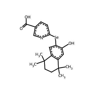 CC1(C)CCC(C)(C)c2cc([Se]c3ccc(C(=O)O)cn3)c(O)cc21